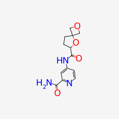 NC(=O)c1cc(NC(=O)C2CCC3(COC3)O2)ccn1